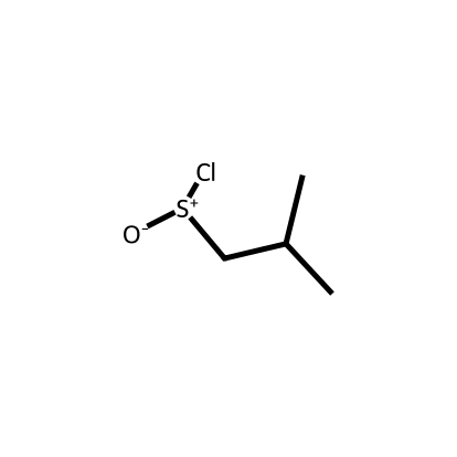 CC(C)C[S+]([O-])Cl